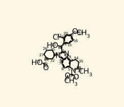 COC(=O)N1c2ccc3c(nc([C@@H](O)c4ccc(OC)cc4Cl)n3[C@@H]3CCC[C@@H](C(=O)O)C3)c2CC[C@@H]1C